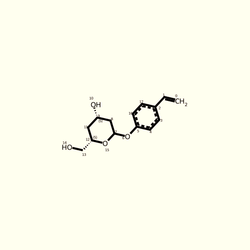 C=Cc1ccc(OC2C[C@@H](O)C[C@@H](CO)O2)cc1